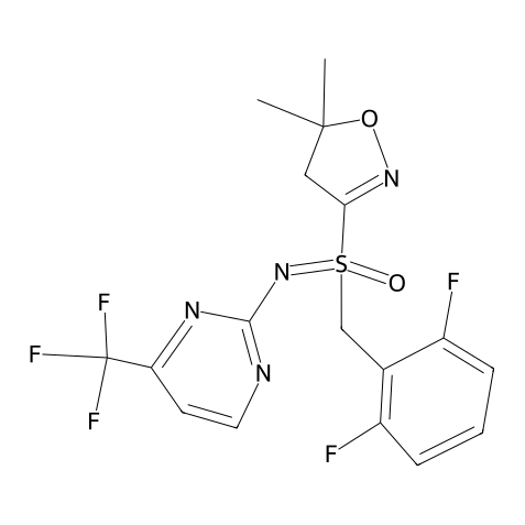 CC1(C)CC(S(=O)(Cc2c(F)cccc2F)=Nc2nccc(C(F)(F)F)n2)=NO1